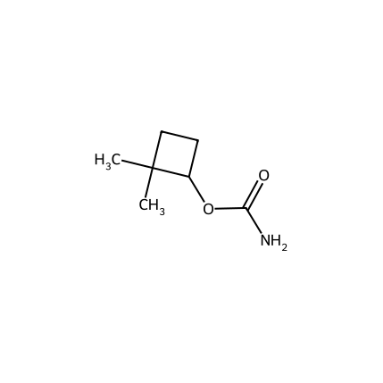 CC1(C)CCC1OC(N)=O